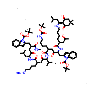 CNC(=O)C(CC(=O)C(CC(C)C)NC(=O)C(CCCCN=[N+]=[N-])CC(=O)C(NC(=O)C(CCCCNC(=O)OC(C)(C)C)CC(=O)C(Cc1cc2ccccc2n1C(=O)OC(C)(C)C)NC(=O)C(CCCCNC(CC(C)C)=C1C(=O)CC(C)(C)CC1=O)CC(C)=O)C(C)C)Cc1cc2ccccc2n1C(=O)OC(C)(C)C